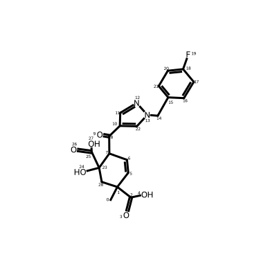 CC1(C(=O)O)C=CC(C(=O)c2cnn(Cc3ccc(F)cc3)c2)C(O)(C(=O)O)C1